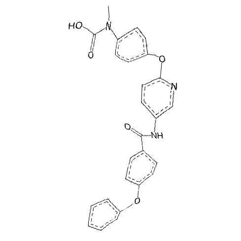 CN(C(=O)O)c1ccc(Oc2ccc(NC(=O)c3ccc(Oc4ccccc4)cc3)cn2)cc1